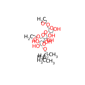 C=CC(=O)OC[C@H]1O[C@H](O[C@H]2[C@H](O)C[C@@H](O)O[C@@H]2COC(=O)C=C)C[C@@H](O)C1[C@@]1(O)C[C@@H](O)[C@H](O)[C@@H](COCCC(C)(C)CC(C)(C)C)O1